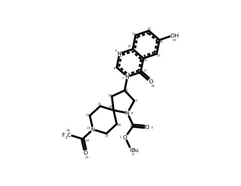 CC(C)(C)OC(=O)N1CC(n2cnc3ccc(O)cc3c2=O)CC12CCN(C(=O)C(F)(F)F)CC2